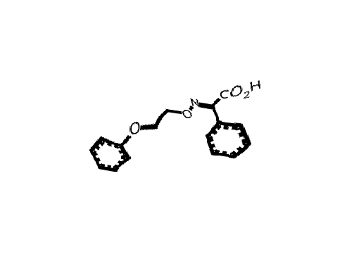 O=C(O)C(=NOCCOc1ccccc1)c1ccccc1